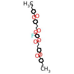 CCCc1ccc(C(=O)Oc2ccc(CCC(=O)Oc3ccc(OC(=O)CCc4ccc(OC(=O)c5ccc(CCC)cc5)cc4)c(F)c3)cc2)cc1